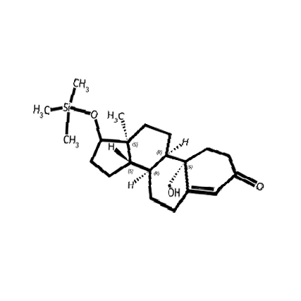 C[C@]12CC[C@@H]3[C@@H](CCC4=CC(=O)CC[C@@]43CO)[C@@H]1CCC2O[Si](C)(C)C